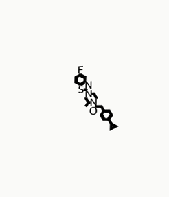 CC1CN(c2nc3cc(F)ccc3s2)CCN1C(=O)Cc1ccc(C2CC2)cc1